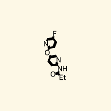 CCC(=O)Nc1ccc(Oc2ccc(F)cn2)cn1